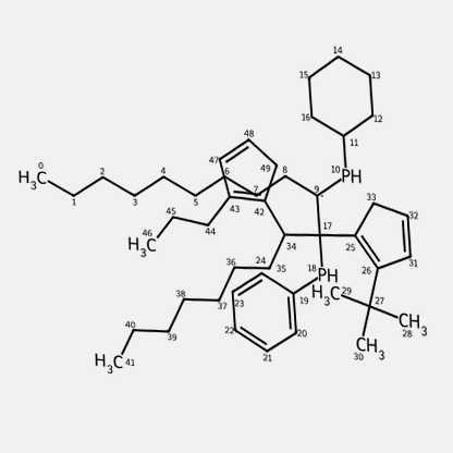 CCCCCCCCC[C](PC1CCCCC1)C(Pc1ccccc1)(C1=C(C(C)(C)C)C=CC1)C(CCCCCCC)C1=C(CCC)C=CC1